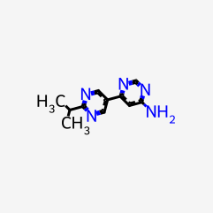 CC(C)c1ncc(-c2cc(N)ncn2)cn1